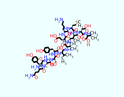 CC[C@H](C)[C@H](NC(=O)[C@H](CCSC)NC(=O)[C@H](CCCCN)NC(=O)[C@H](CCC(=O)O)NC(=O)[C@@H](NC(=O)[C@@H](NC(=O)[C@H](Cc1ccc(O)cc1)NC(=O)[C@H](CO)NC(=O)[C@H](C)NC(=O)[C@H](Cc1ccc(O)cc1)NC(=O)[C@@H](N)CCC(N)=O)C(C)C)C(C)C)C(=O)N[C@@H](CC(=O)O)C(=O)N[C@H](C(=O)O)C(C)C